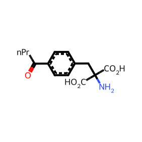 CCCC(=O)c1ccc(CC(N)(C(=O)O)C(=O)O)cc1